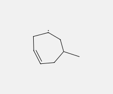 CC1C[CH]CC=CC1